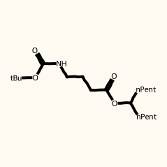 CCCCCC(CCCCC)OC(=O)CCCNC(=O)OC(C)(C)C